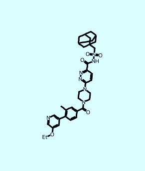 CCOc1cncc(-c2ccc(C(=O)N3CCN(c4ccc(C(=O)NS(=O)(=O)CC56CC7CC(CC(C7)C5)C6)nn4)CC3)cc2C)c1